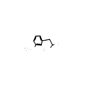 CSc1cccc(CC(C)S)c1